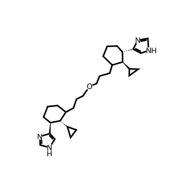 c1nc([C@H]2CCCC(CCCOCCCC3CCC[C@H](c4c[nH]cn4)[C@H]3C3CC3)[C@@H]2C2CC2)c[nH]1